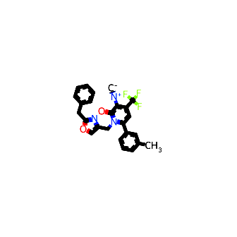 [C-]#[N+]c1c(C(F)(F)F)cc(-c2cccc(C)c2)n(Cc2coc(Cc3ccccc3)n2)c1=O